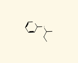 CCC(C)N[C]1C=CC=CO1